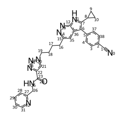 N#Cc1ccc(-c2c(C3CC3)[nH]c3nnc(CCCCn4cc(C(=O)NCc5ccccn5)nn4)cc23)cc1